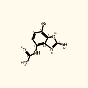 CC(=O)Nc1ccc(Br)c2oc(S)nc12